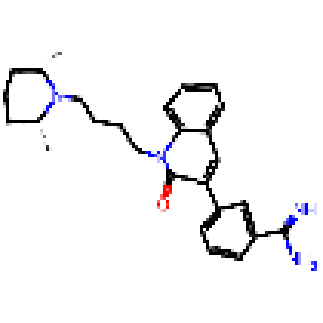 C[C@@H]1CCC[C@H](C)N1CCCCn1c(=O)c(-c2cccc(C(=N)N)c2)cc2ccccc21